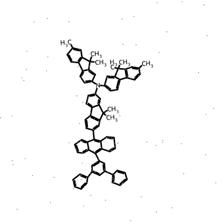 Cc1ccc2c(c1)C(C)(C)c1cc(N(c3ccc4c(c3)C(C)(C)c3cc(C)ccc3-4)c3ccc4c(c3)C(C)(C)c3cc(-c5c6ccccc6c(-c6cc(-c7ccccc7)cc(-c7ccccc7)c6)c6ccccc56)ccc3-4)ccc1-2